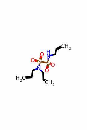 C=CCNS(=O)(=O)S(=O)(=O)N(CC=C)CC=C